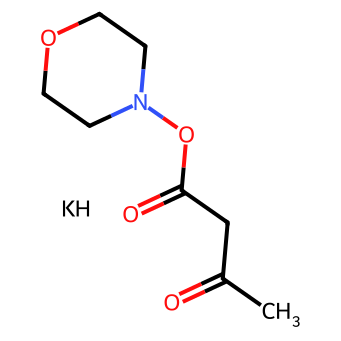 CC(=O)CC(=O)ON1CCOCC1.[KH]